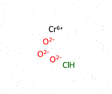 Cl.[Cr+6].[O-2].[O-2].[O-2]